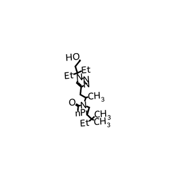 CCCC(=O)N(CCC(C)(C)CC)C(C)Cc1cn(C(CC)(CC)CCO)nn1